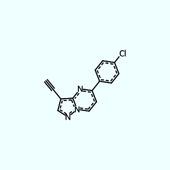 C#Cc1cnn2ccc(-c3ccc(Cl)cc3)nc12